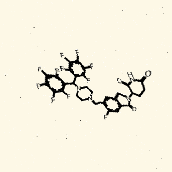 O=C1CCC(N2Cc3cc(CN4CCN(C(c5c(F)c(F)c(F)c(F)c5F)c5c(F)c(F)c(F)c(F)c5F)CC4)c(F)cc3C2=O)C(=O)N1